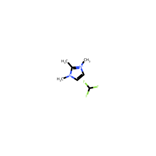 Cc1n(C)cc[n+]1C.FC(F)F